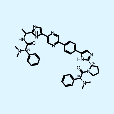 CC(NC(=O)[C@@H](c1ccccc1)N(C)C)c1ncc(-c2cnc(-c3ccc(-c4cnc([C@@H]5CCCN5C(=O)[C@@H](c5ccccc5)N(C)C)[nH]4)cc3)cn2)[nH]1